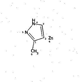 Cc1cc[nH]n1.[Zn]